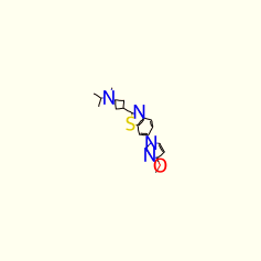 COC1=NCN(c2ccc3nc(C4CC(N(C)C(C)C)C4)sc3c2)C=C1